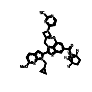 COc1ccc2cc(-c3nc4cc(C(=O)N5C[C@H]6CC[C@@H]5[C@@H]6N)cc(OC)c4n3CC3CN(c4ccnc(C#N)n4)C3)n(CC3CC3)c2n1